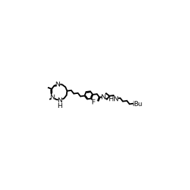 C=C(Cc1ccc(CCCCC2CC/N=C\C(C)=C/N(C)CNCC2)cc1F)N1CC(CNCCCCC(C)CC)C1